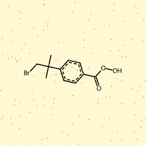 CC(C)(CBr)c1ccc(C(=O)OO)cc1